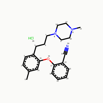 Cc1ccc(CCCN2CCN(C)CC2)c(Oc2ccccc2C#N)c1.Cl